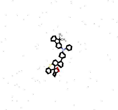 CC1(C)c2ccccc2-c2ccc(N(c3ccccc3)c3ccc(-c4cccc5c6c(ccc45)Sc4ccccc4C64c5ccccc5-c5ccccc54)cc3)cc21